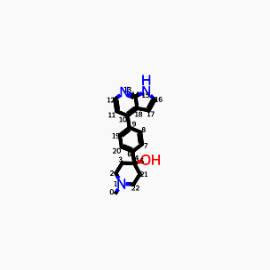 CN1CCC(O)(c2ccc(-c3ccnc4[nH]ccc34)cc2)CC1